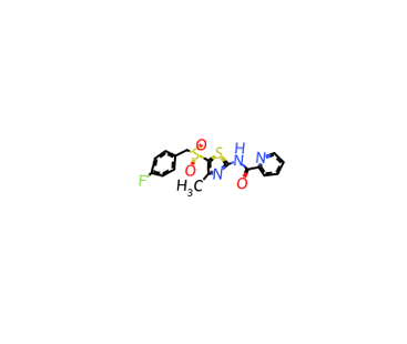 Cc1nc(NC(=O)c2ccccn2)sc1S(=O)(=O)Cc1ccc(F)cc1